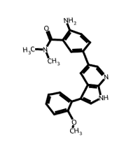 COc1ccccc1-c1c[nH]c2ncc(-c3ccc(N)c(C(=O)N(C)C)c3)cc12